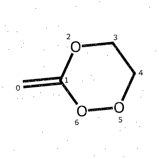 C=C1OCCOO1